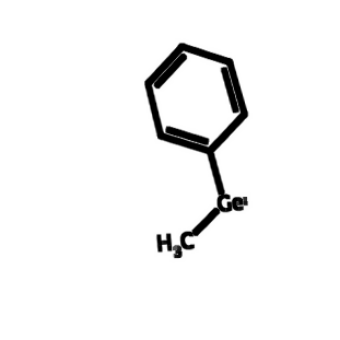 [CH3][Ge][c]1ccccc1